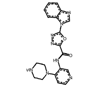 O=C(Nc1cnccc1N1CCNCC1)c1nnc(-n2cnc3ccccc32)o1